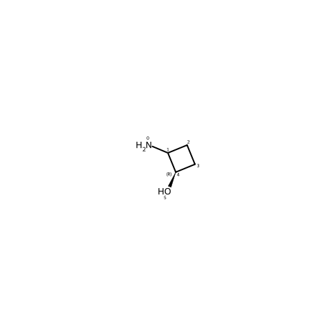 NC1CC[C@H]1O